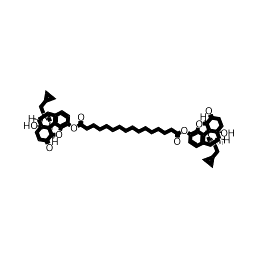 O=C(CCCCCCCCCCCCCCC(=O)Oc1ccc2c3c1O[C@H]1C(=O)CC[C@@]4(O)[C@@H](C2)N(CC2CC2)CC[C@]314)Oc1ccc2c3c1O[C@H]1C(=O)CC[C@@]4(O)[C@@H](C2)N(CC2CC2)CC[C@]314